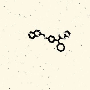 O=C(Nc1nccs1)C(c1ccc(OCc2ccc3ccccc3n2)cc1)C1CCCCCC1